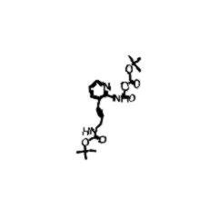 CC(C)(C)OC(=O)NCC#Cc1cccnc1NC(=O)OC(=O)OC(C)(C)C